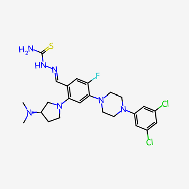 CN(C)[C@@H]1CCN(c2cc(N3CCN(c4cc(Cl)cc(Cl)c4)CC3)c(F)cc2/C=N/NC(N)=S)C1